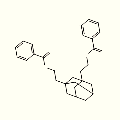 O=C(OCCC12CC3CC(C1)CC(CCOC(=O)c1ccccc1)(C3)C2)c1ccccc1